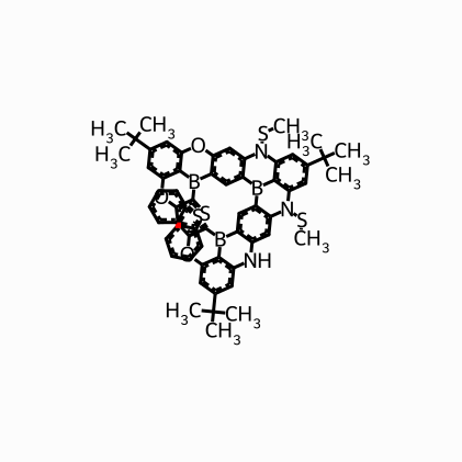 CSN1c2cc3c(cc2B2c4cc5c(cc4N(SC)c4cc(C(C)(C)C)cc1c42)Oc1cc(C(C)(C)C)cc2c1B5c1sc4ccccc4c1O2)B1c2sc4ccccc4c2Oc2cc(C(C)(C)C)cc(c21)N3